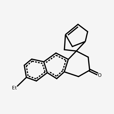 CCc1ccc2cc3c(cc2c1)CC(=O)CC31CC2=CCC1C2